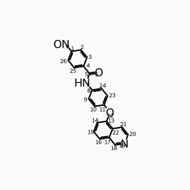 O=Nc1ccc(C(=O)Nc2ccc(Oc3cccc4cnccc34)cc2)cc1